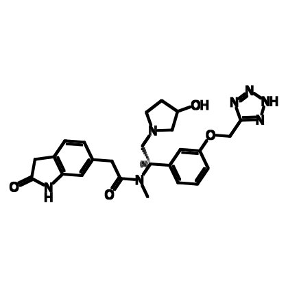 CN(C(=O)Cc1ccc2c(c1)NC(=O)C2)[C@H](CN1CCC(O)C1)c1cccc(OCc2nn[nH]n2)c1